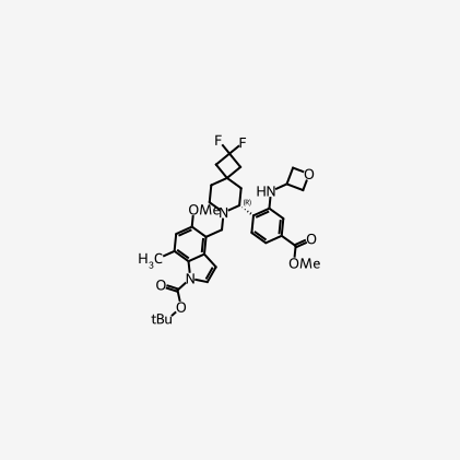 COC(=O)c1ccc([C@H]2CC3(CCN2Cc2c(OC)cc(C)c4c2ccn4C(=O)OC(C)(C)C)CC(F)(F)C3)c(NC2COC2)c1